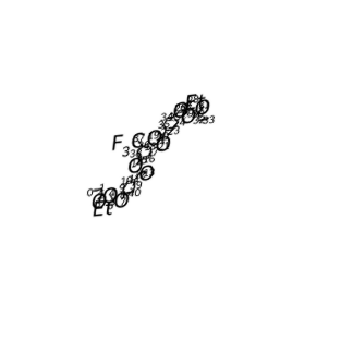 C=CC(=O)OC(CC)Oc1ccc(C(=O)Oc2ccc(OC(=O)c3ccc(OC(CC)OC(=O)C=C)cc3)c(C(F)(F)F)c2)cc1